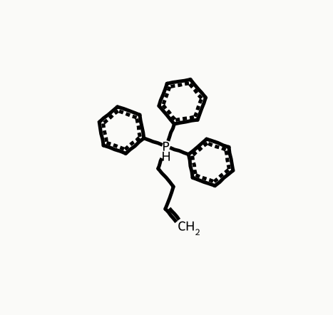 C=CCC[PH](c1ccccc1)(c1ccccc1)c1ccccc1